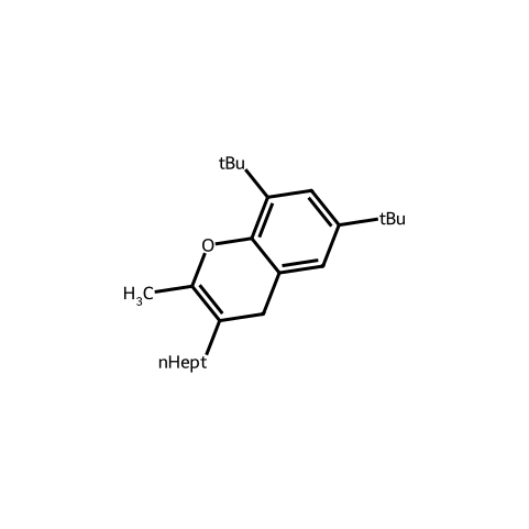 CCCCCCCC1=C(C)Oc2c(cc(C(C)(C)C)cc2C(C)(C)C)C1